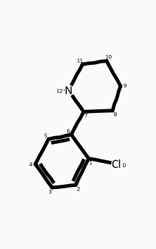 Clc1ccccc1C1CCCC[N]1